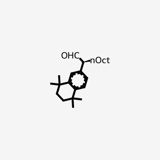 CCCCCCCC[C@H](C=O)c1ccc2c(c1)C(C)(C)CCC2(C)C